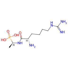 C[C@H](NC(=O)[C@@H](N)CCCCNC(=N)N)P(=O)(O)O